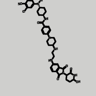 CCN(c1ccc(C#N)c(Cl)c1)[C@H]1CC[C@H](NC(=O)c2ccc(N3CCC(NCCNc4ccc5c(c4)C(=O)N(C4CCC(O)NC4=O)C5=O)CC3)cc2)CC1